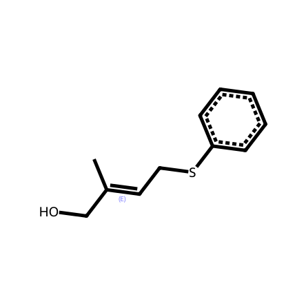 C/C(=C\CSc1ccccc1)CO